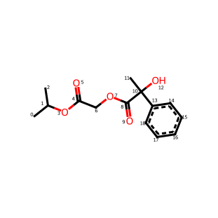 CC(C)OC(=O)COC(=O)C(C)(O)c1ccccc1